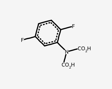 O=C(O)N(C(=O)O)c1cc(F)ccc1F